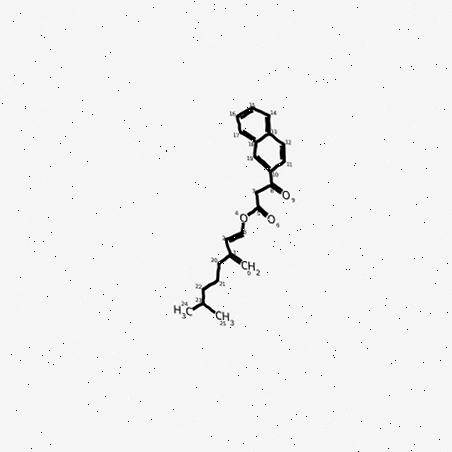 C=C(C=COC(=O)CC(=O)c1ccc2ccccc2c1)CCCC(C)C